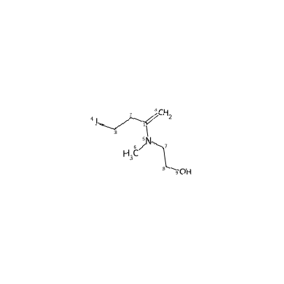 C=C(CCI)N(C)CCO